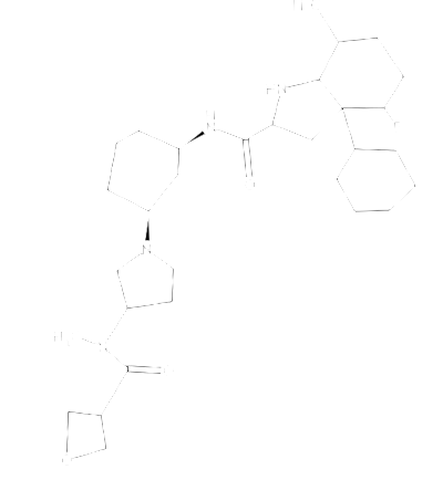 CC1CCC(F)C2(C3CCCCC3)CC(C(=O)N[C@@H]3CCC[C@H](N4CCC(N(C)C(=O)C5COC5)C4)C3)NC12